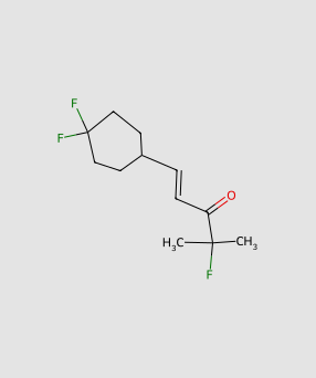 CC(C)(F)C(=O)C=CC1CCC(F)(F)CC1